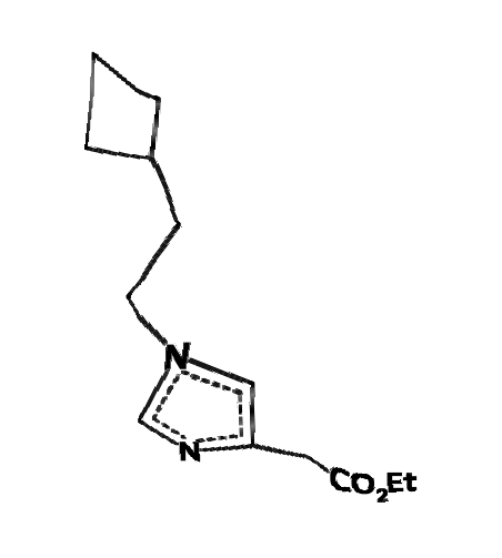 CCOC(=O)c1cn(CCC2CCC2)cn1